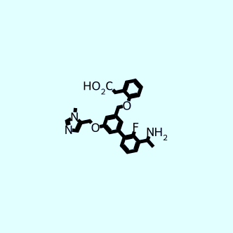 CC(N)c1cccc(-c2cc(COc3ccccc3CC(=O)O)cc(OCc3cncn3C)c2)c1F